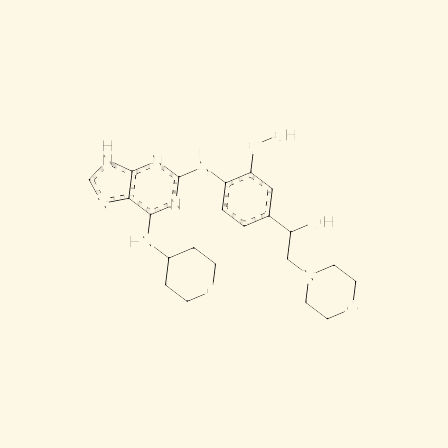 COc1cc(C(O)CN2CCOCC2)ccc1Nc1nc(NC2CCOCC2)c2nc[nH]c2n1